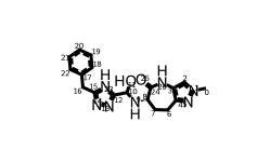 Cn1cc2c(n1)CC[C@H](NC(O)c1nnc(Cc3ccccc3)[nH]1)C(=O)N2